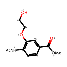 COC(=O)c1ccc(NC(C)=O)c(OCCO)c1